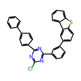 Clc1nc(-c2ccc(-c3ccccc3)cc2)nc(-c2cccc(-c3ccc4sc5ccccc5c4c3)c2)n1